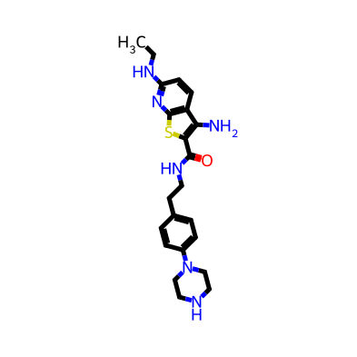 CCNc1ccc2c(N)c(C(=O)NCCc3ccc(N4CCNCC4)cc3)sc2n1